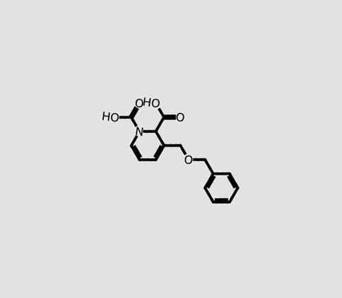 O=C(O)C1C(COCc2ccccc2)=CC=CN1C(=O)O